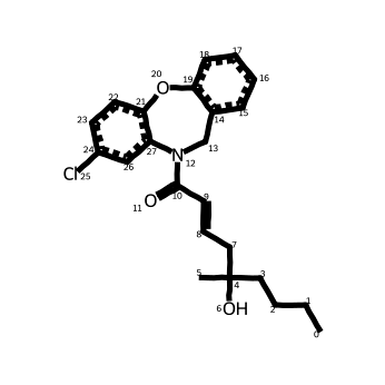 CCCCC(C)(O)CC=CC(=O)N1Cc2ccccc2Oc2ccc(Cl)cc21